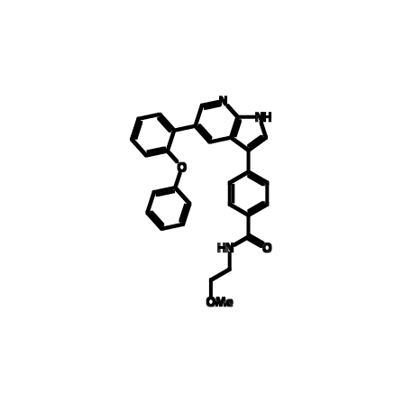 COCCNC(=O)c1ccc(-c2c[nH]c3ncc(-c4ccccc4Oc4ccccc4)cc23)cc1